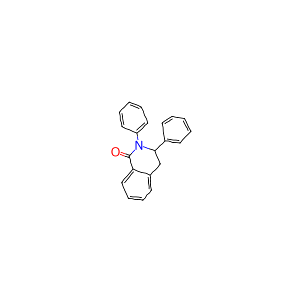 O=C1c2ccccc2CC(c2ccccc2)N1c1ccccc1